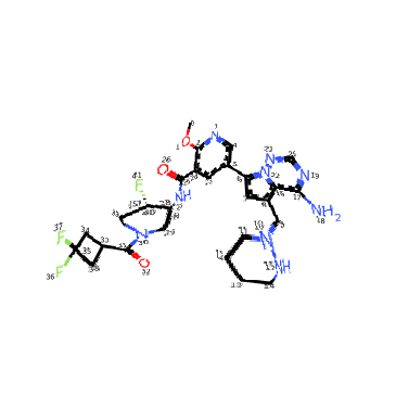 COc1ncc(-c2cc(CN3CCCCN3)c3c(N)ncnn23)cc1C(=O)N[C@@H]1CN(C(=O)C2CC(F)(F)C2)C[C@@H]1F